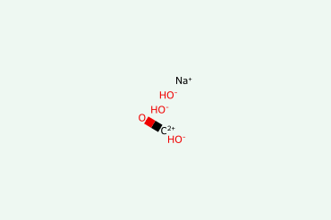 [C+2]=O.[Na+].[OH-].[OH-].[OH-]